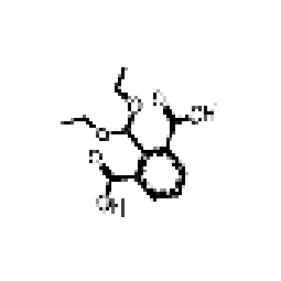 CCOC(OCC)c1c(C(=O)O)cccc1C(=O)O